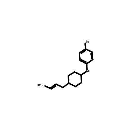 CC(C)(C)c1ccc(NC2CCC(C/C=C/C(=O)O)CC2)cc1